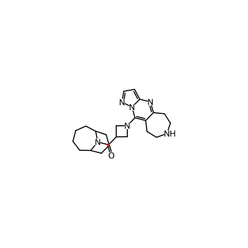 O=C(C1CN(c2c3c(nc4ccnn24)CCNCC3)C1)N1C2CCCCC1CCC2